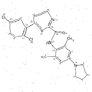 Cc1cc(N2CCCC2)cc(C)c1NC(=O)c1nccc(-c2cc(Cl)ccc2Cl)n1